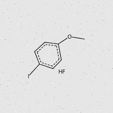 COc1ccc(I)cc1.F